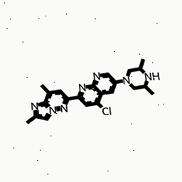 Cc1cn2nc(-c3cc(Cl)c4cc(N5CC(C)NC(C)C5)cnc4n3)cc(C)c2n1